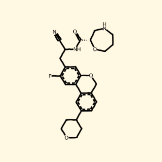 N#CC(Cc1cc2c(cc1F)-c1cc(C3CCOCC3)ccc1CO2)NC(=O)[C@@H]1CNCCCO1